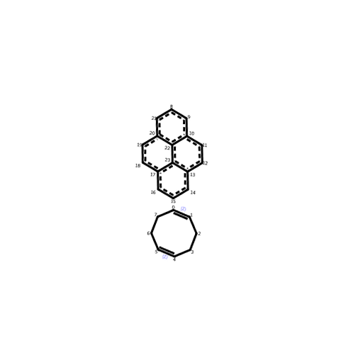 C1=C\CC/C=C\CC/1.c1cc2ccc3cccc4ccc(c1)c2c34